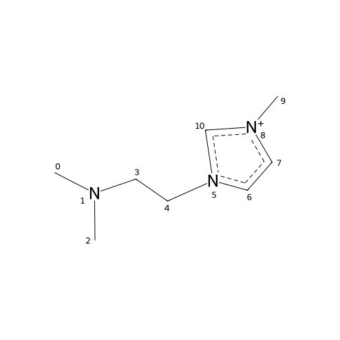 CN(C)CCn1cc[n+](C)c1